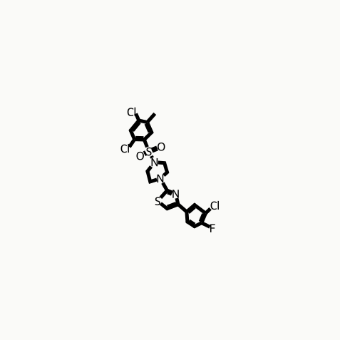 Cc1cc(S(=O)(=O)N2CCN(c3nc(-c4ccc(F)c(Cl)c4)cs3)CC2)c(Cl)cc1Cl